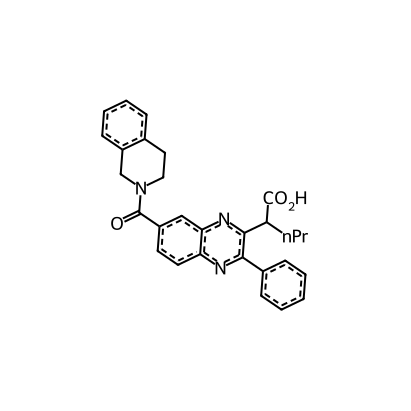 CCCC(C(=O)O)c1nc2cc(C(=O)N3CCc4ccccc4C3)ccc2nc1-c1ccccc1